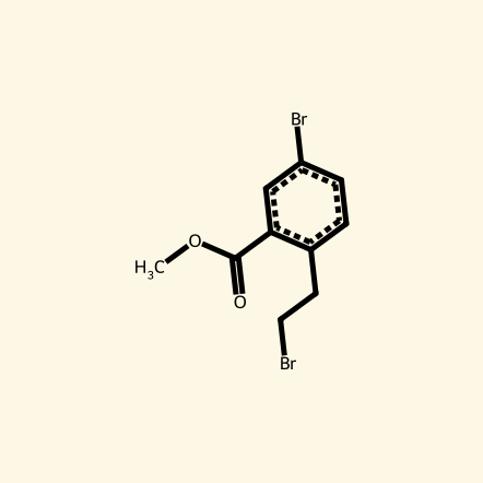 COC(=O)c1cc(Br)ccc1CCBr